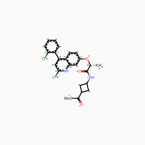 COC(=O)C1CC(NC(=O)[C@@H](C)Oc2ccc3c(-c4ccccc4Cl)cc(Cl)nc3c2)C1